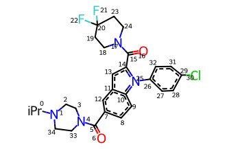 CC(C)N1CCN(C(=O)c2ccc3c(c2)cc(C(=O)N2CCC(F)(F)CC2)n3-c2ccc(Cl)cc2)CC1